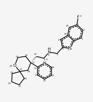 Fc1ccc2sc(CNCC[C@@]3(c4ccccn4)CCOC4(CCCC4)C3)cc2c1